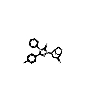 O=C1CC(n2nc(-c3ccc(Cl)cc3)n(-c3ccccc3)c2=S)C2COC1O2